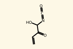 C=CC(=O)C(O)N=C=O